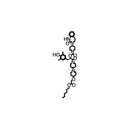 CCCCCCOC(=O)COC1CCN(C2CCN(C(=O)[C@@H](Cc3cc(C)c(O)c(C)c3)OC(=O)N3CCC(N4CCc5ccccc5NC4=O)CC3)CC2)CC1